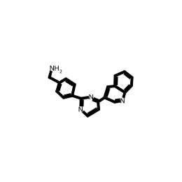 NCc1ccc(-c2nccc(-c3cnc4ccccc4c3)n2)cc1